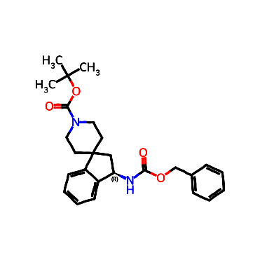 CC(C)(C)OC(=O)N1CCC2(CC1)C[C@@H](NC(=O)OCc1ccccc1)c1ccccc12